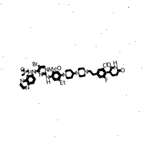 CCc1cc(Nc2ncc(Br)c(Nc3ccc4nccnc4c3P(C)(C)=O)n2)c(OC)cc1N1CCC(N2CCN(CCc3cc(F)c(C4CCC(=O)NC4=O)c(Cl)c3)CC2)CC1